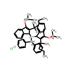 CCCC(C)(C)C1=C(O[SiH](C)C)c2ccccc2[CH]1[Zr+2]([CH]1C(C(C)(C)CCC)=C(O[SiH](C)C)c2ccccc21)[SiH](c1ccccc1)c1ccccc1.[Cl-].[Cl-]